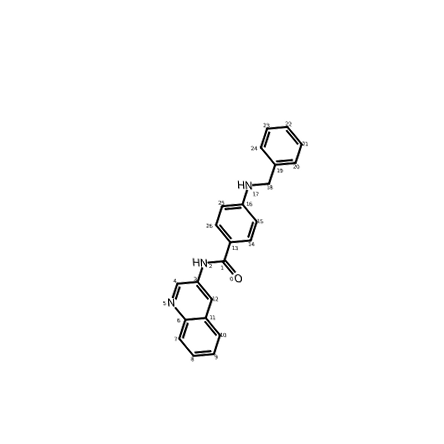 O=C(Nc1cnc2ccccc2c1)c1ccc(NCc2ccccc2)cc1